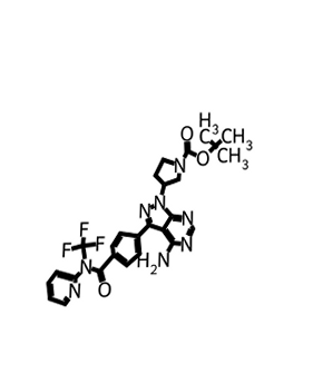 CC(C)(C)OC(=O)N1CCC(n2nc(-c3ccc(C(=O)N(c4ccccn4)C(F)(F)F)cc3)c3c(N)ncnc32)C1